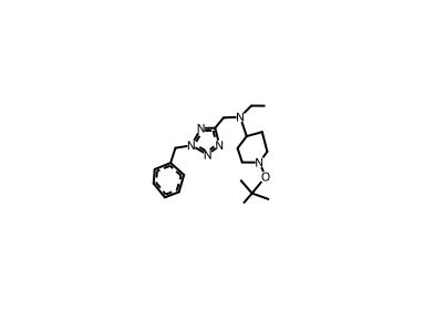 CCN(Cc1nnn(Cc2ccccc2)n1)C1CCN(OC(C)(C)C)CC1